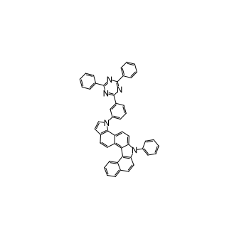 c1ccc(-c2nc(-c3ccccc3)nc(-c3cccc(-n4ccc5ccc6c(ccc7c6c6c8ccccc8ccc6n7-c6ccccc6)c54)c3)n2)cc1